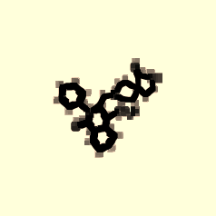 O=C(O)c1c(CN2CCC3(CCNC3=O)CC2)n(-c2ccccc2)c(=O)c2ccccc12